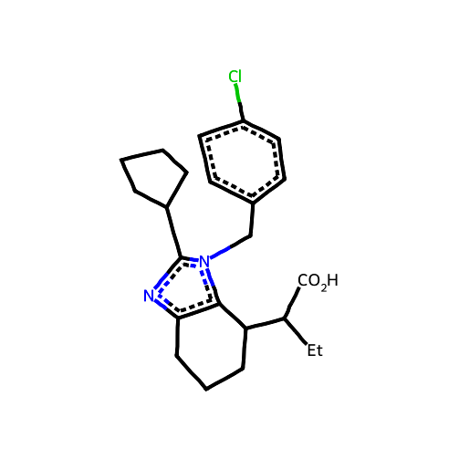 CCC(C(=O)O)C1CCCc2nc(C3CCCC3)n(Cc3ccc(Cl)cc3)c21